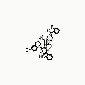 C[C@@H](c1c[nH]c2ccccc12)[C@@H](NC(=O)N1CCN(C(=O)c2ccccc2F)CC1)C(=O)N1C[C@@H](CN(C)C)Cc2cc(Cl)ccc21